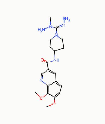 COc1ccc2cc(C(=O)NC3CCN(/C(=N/N)N(C)N)CC3)cnc2c1OC